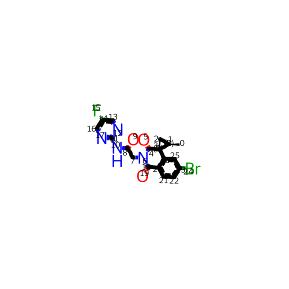 C[C@@H]1C[C@@]12C(=O)N(CC(=O)Nc1ncc(F)cn1)C(=O)c1ccc(Br)cc12